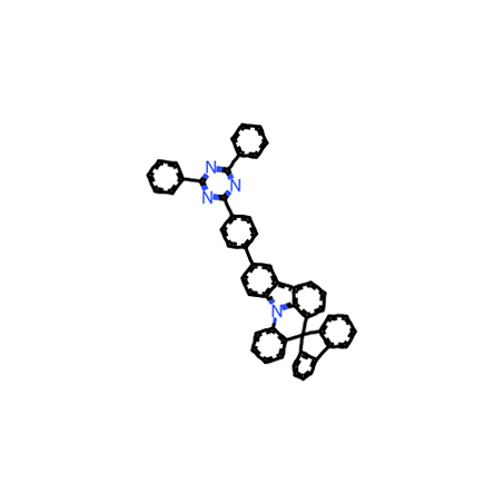 c1ccc(-c2nc(-c3ccccc3)nc(-c3ccc(-c4ccc5c(c4)c4cccc6c4n5-c4ccccc4C64c5ccccc5-c5ccccc54)cc3)n2)cc1